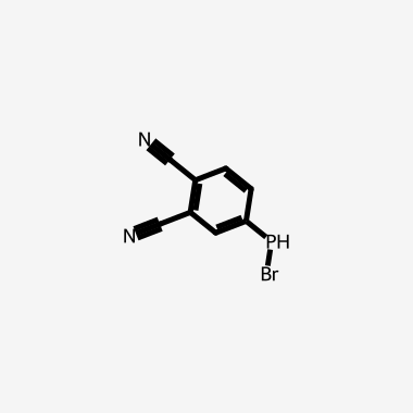 N#Cc1ccc(PBr)cc1C#N